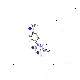 CCCNc1ccc(/C(=N/NC)NN)cc1